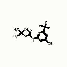 Cc1cc(NC(=O)OC(C)(C)C)nc(C(F)(F)F)c1